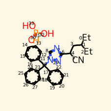 CCC(CC)CC(C#N)c1ncn(C(c2ccccc2)(c2ccccc2)c2ccccc2)n1.O=[PH](O)O